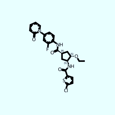 CCO[C@H]1C[C@H](C(=O)Nc2ccc(-n3ccccc3=O)cc2F)C[C@@H]1NC(=O)c1ccc(Cl)s1